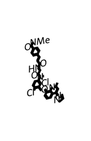 CNC(=O)c1ccc(/C=C/C(=O)NCC(=O)N(C)c2ccc(Cl)c(COc3cccc4c(-n5cccn5)cc(C)nc34)c2Cl)cc1